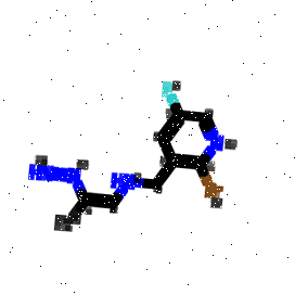 CC/C(=C/NCc1cc(F)cnc1Br)N=N